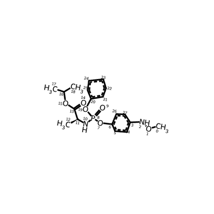 CONc1ccc(OP(=O)(N[C@@H](C)C(=O)OC(C)C)Oc2ccccc2)cc1